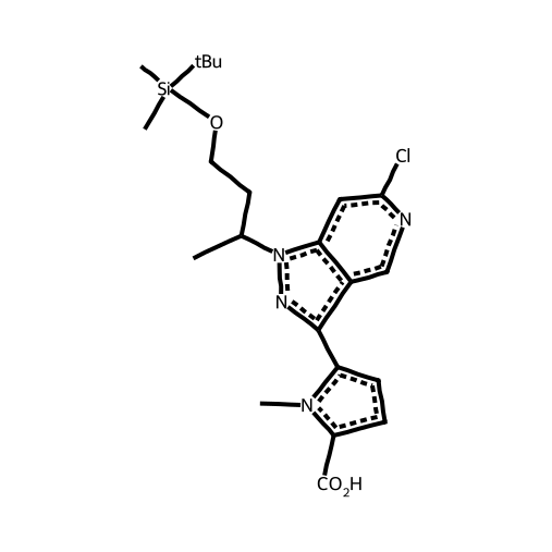 CC(CCO[Si](C)(C)C(C)(C)C)n1nc(-c2ccc(C(=O)O)n2C)c2cnc(Cl)cc21